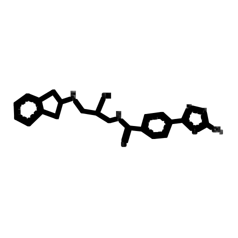 Cc1nnc(-c2ccc(C(=O)NCC(O)CNC3Cc4ccccc4C3)cc2)o1